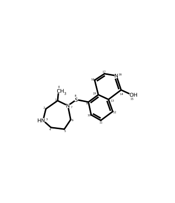 CC1CNCCCN1Sc1cccc2c(O)nccc12